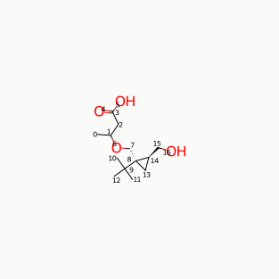 CC(CC(=O)O)OC[C@@]1(C(C)(C)C)C[C@@H]1CO